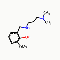 COc1cccc(CNCCCN(C)C)c1O